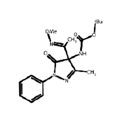 CON=C(C)C1(NC(=O)OC(C)(C)C)C(=O)N(c2ccccc2)N=C1C